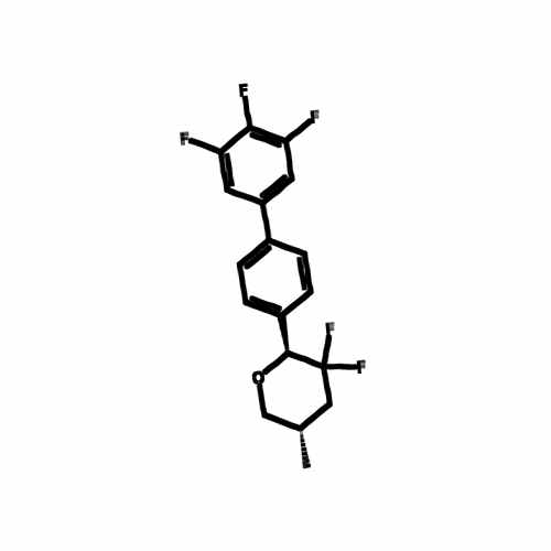 C[C@@H]1CO[C@@H](c2ccc(-c3cc(F)c(F)c(F)c3)cc2)C(F)(F)C1